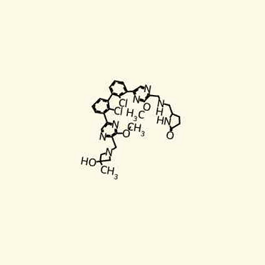 COc1nc(-c2cccc(-c3cccc(-c4cnc(CN5CC(C)(O)C5)c(OC)n4)c3Cl)c2Cl)cnc1CNCC1CCC(=O)N1